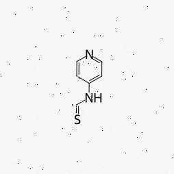 S=[C]Nc1ccncc1